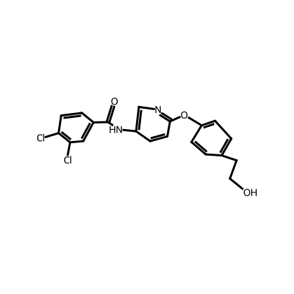 O=C(Nc1ccc(Oc2ccc(CCO)cc2)nc1)c1ccc(Cl)c(Cl)c1